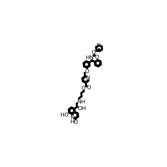 O=C(NC(c1ccccc1)c1cccc(OCc2ccc(C(=O)OCCCCNCC(O)c3ccc(O)c4[nH]c(=O)ccc34)cn2)c1)OC1CN2CCC1CC2